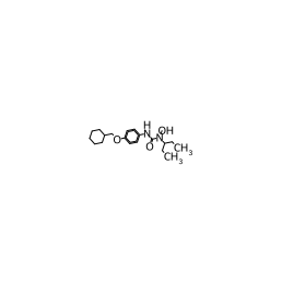 CCC(CC)N(O)C(=O)Nc1ccc(OCC2CCCCC2)cc1